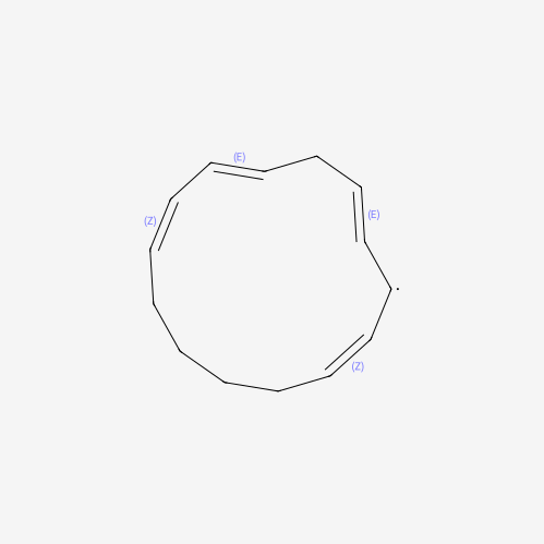 [CH]1/C=C\CCCC/C=C\C=C\C/C=C/1